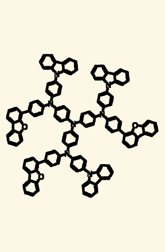 c1ccc2c(c1)oc1c(-c3ccc(N(c4ccc(N(c5ccc(N(c6ccc(-c7cccc8c7oc7ccccc78)cc6)c6ccc(-n7c8ccccc8c8ccccc87)cc6)cc5)c5ccc(N(c6ccc(-c7cccc8c7oc7ccccc78)cc6)c6ccc(-n7c8ccccc8c8ccccc87)cc6)cc5)cc4)c4ccc(-n5c6ccccc6c6ccccc65)cc4)cc3)cccc12